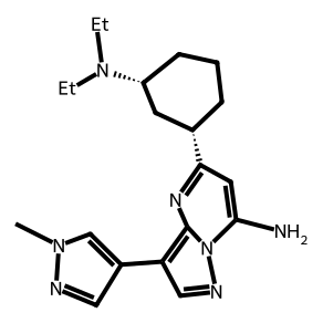 CCN(CC)[C@@H]1CCC[C@H](c2cc(N)n3ncc(-c4cnn(C)c4)c3n2)C1